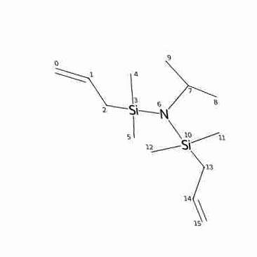 C=CC[Si](C)(C)N(C(C)C)[Si](C)(C)CC=C